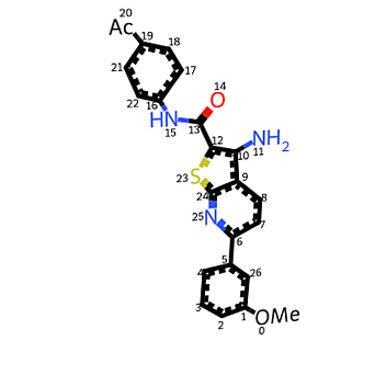 COc1cccc(-c2ccc3c(N)c(C(=O)Nc4ccc(C(C)=O)cc4)sc3n2)c1